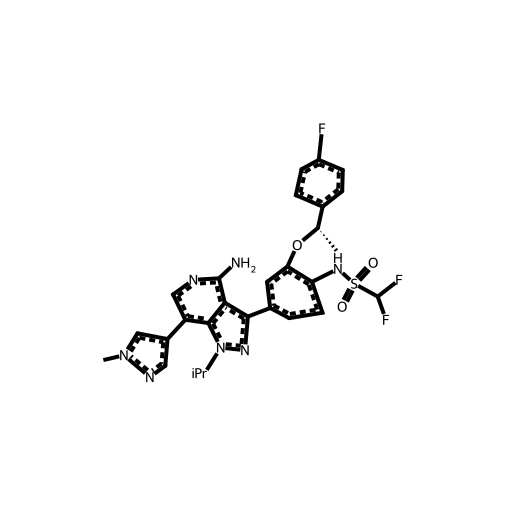 CC(C)n1nc(-c2ccc(NS(=O)(=O)C(F)F)c(O[C@@H](C)c3ccc(F)cc3)c2)c2c(N)ncc(-c3cnn(C)c3)c21